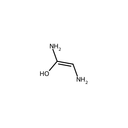 NC=C(N)O